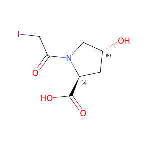 O=C(O)[C@@H]1C[C@@H](O)CN1C(=O)CI